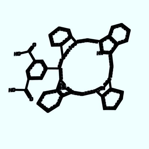 O=C(O)c1cc(C(=O)O)cc(-c2c3nc(cc4[nH]c(cc5nc(cc6[nH]c2c2ccccc62)-c2ccccc2-5)c2ccccc42)-c2ccccc2-3)c1